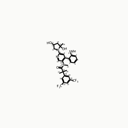 CSc1ccccc1-c1cc(N2CC(O)CC2(C)O)ncc1N(C)C(=O)C(C)(C)c1cc(C(F)(F)F)cc(C(F)(F)F)c1